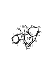 CC(=O)N1c2ccccc2[C@@]23CCN4CC5=CCO[C@@H](O)[C@@H]([C@H]12)[C@H]5C[C@H]43